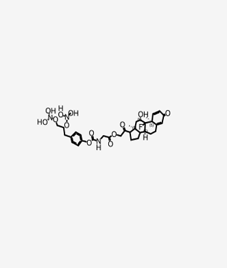 C[C@]12C[C@H](O)C3(F)[C@@H](CCC4=CC(=O)C=C[C@@]43C)C1CCC2C(=O)COC(=O)CNC(=O)Oc1ccc(CC(CON(O)O)ON(O)O)cc1